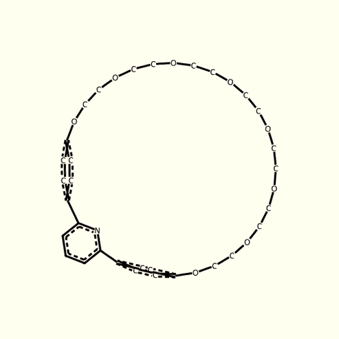 c1cc2nc(c1)-c1ccc(cc1)OCCOCCOCCOCCOCCOCCOCCOc1ccc-2cc1